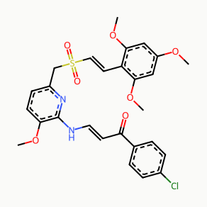 COc1cc(OC)c(/C=C/S(=O)(=O)Cc2ccc(OC)c(N/C=C/C(=O)c3ccc(Cl)cc3)n2)c(OC)c1